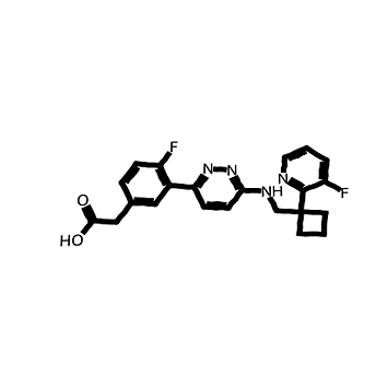 O=C(O)Cc1ccc(F)c(-c2ccc(NCC3(c4ncccc4F)CCC3)nn2)c1